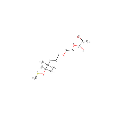 CSOC(C)(C)[Si](C)(C)CCCOCCOC(=O)C(C)Br